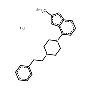 CCOC(=O)c1cc2c(N3CCN(CCc4ccccc4)CC3)cccc2s1.Cl